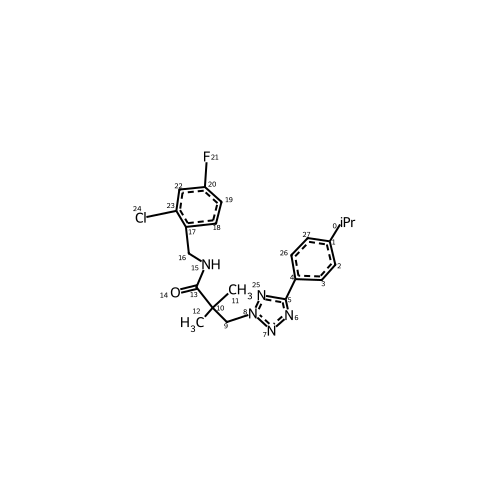 CC(C)c1ccc(-c2nnn(CC(C)(C)C(=O)NCc3ccc(F)cc3Cl)n2)cc1